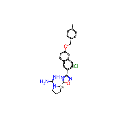 Cc1ccc(COc2ccc3cc(-c4noc([C@@H]5CCCN5C(=N)N)n4)ccc3c2)cc1.Cl